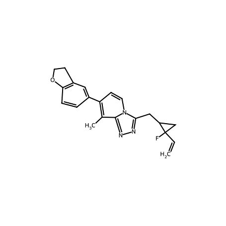 C=CC1(F)CC1Cc1nnc2c(C)c(-c3ccc4c(c3)CCO4)ccn12